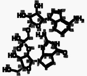 Nc1nc2c(ccn2[C@@H]2O[C@H](CO)C(O)C2OP(=O)(O)CO[C@H]2O[C@@H](n3cnc4c(N)ncnc43)C(O)C2O)c(=O)[nH]1